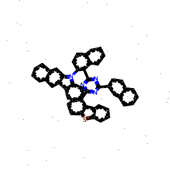 c1ccc2cc(-c3nc(-c4c(-n5c6ccccc6c6cc7ccccc7cc65)ccc5ccccc45)nc(-c4cccc5sc6ccccc6c45)n3)ccc2c1